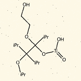 CC(C)OC(C(C)C)(C(C)C)C(OCCO)([O][Ti](=[O])[OH])C(C)C